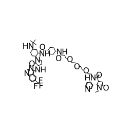 CCN1C(=O)CC(C(=O)NCCOCCOCCOCCC(=O)N[C@H]2CC[C@@H](C(=O)N[C@@H]3C[C@H](NC(C)(C)C)CC[C@@H]3N3CC[C@H](Nc4ncnc5ccc(C(F)(F)F)cc45)C3=O)CC2)[C@H]1c1cccnc1